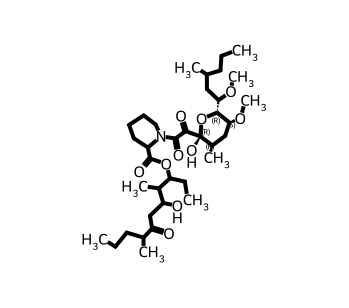 CCCC(C)CC(OC)[C@H]1O[C@@](O)(C(=O)C(=O)N2CCCCC2C(=O)OC(CC)C(C)C(O)CC(=O)C(C)CCC)[C@H](C)C[C@@H]1OC